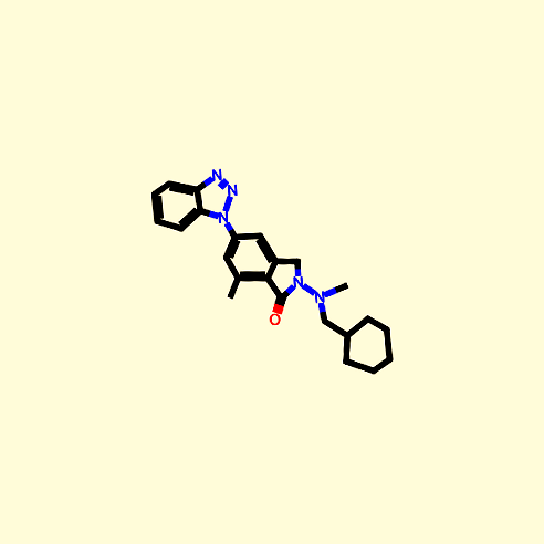 Cc1cc(-n2nnc3ccccc32)cc2c1C(=O)N(N(C)CC1CCCCC1)C2